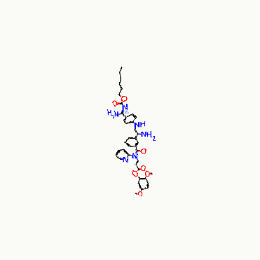 CCCCCCOC(=O)/N=C(\N)c1ccc(NCC(N)c2cccc(C(=O)N(CCC(=O)Oc3cc(OC)ccc3OC)c3ccccn3)c2)cc1